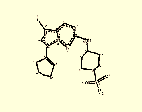 CS(=O)(=O)C1CCC(Nc2ncc3c(F)cc(C4=CCCC4)n3n2)CC1